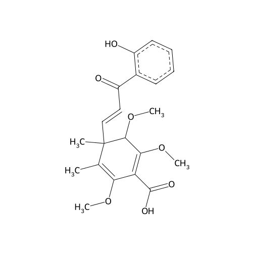 COC1=C(C)C(C)(C=CC(=O)c2ccccc2O)C(OC)C(OC)=C1C(=O)O